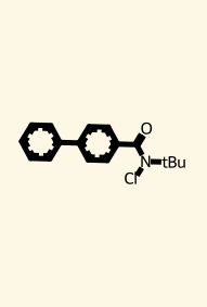 CC(C)(C)N(Cl)C(=O)c1ccc(-c2ccccc2)cc1